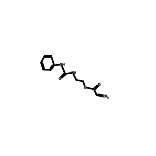 C=CC(=O)OCCNC(=O)Nc1ccccc1